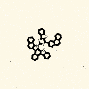 c1ccc2c(c1)ccc1ccc(-c3nc(-n4c5c6ccccc6ccc5c5c6ccccc6c6c7ccccc7sc6c54)nc4c3oc3ccccc34)cc12